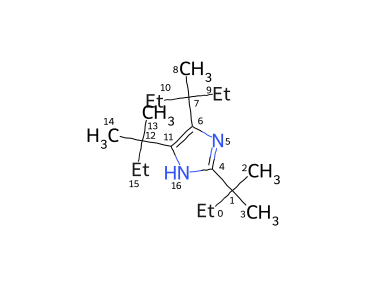 CCC(C)(C)c1nc(C(C)(CC)CC)c(C(C)(C)CC)[nH]1